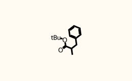 CC(Cc1ccccc1)C(=O)OC(C)(C)C